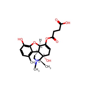 Cc1ccc(O)c2c1[C@]13CCN(C)[C@H](C)[C@]1(O)CC=C(OC(=O)CCC(=O)O)[C@@H]3O2